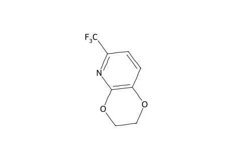 FC(F)(F)c1ccc2c(n1)OCCO2